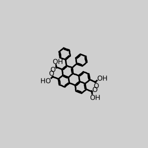 O=C(O)c1ccc2c3ccc(C(=O)O)c4c(C(=O)O)c(-c5ccccc5)c(-c5ccccc5)c(c5ccc(C(=O)O)c1c25)c43